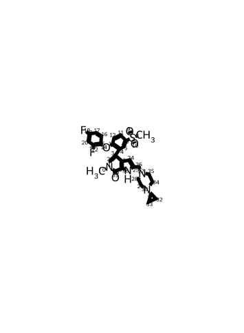 Cn1cc(-c2cc(S(C)(=O)=O)ccc2Oc2ccc(F)cc2F)c2cc(CN3CCN(C4CC4)CC3)[nH]c2c1=O